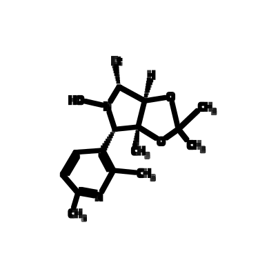 CC[C@@H]1[C@H]2OC(C)(C)O[C@@]2(C)[C@H](c2ccc(C)nc2C)N1O